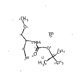 COCC(CBr)NC(=O)OC(C)(C)C.[Zn]